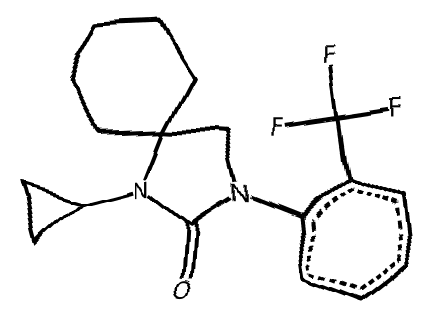 O=C1N(c2ccccc2C(F)(F)F)CC2(CCCCC2)N1C1CC1